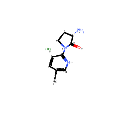 CC(=O)c1ccc(N2CC[C@H](N)C2=O)nc1.Cl